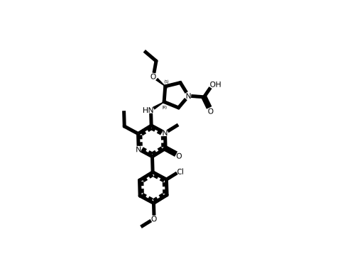 CCO[C@H]1CN(C(=O)O)C[C@H]1Nc1c(CC)nc(-c2ccc(OC)cc2Cl)c(=O)n1C